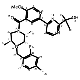 COc1cnc(-c2ccnc(C(C)(C)O)n2)cc1C(=O)N1C[C@H](C)N(Cc2ncc(F)cc2F)C[C@H]1C